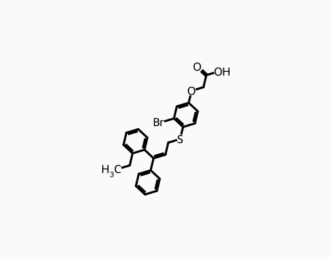 CCc1ccccc1/C(=C\CSc1ccc(OCC(=O)O)cc1Br)c1ccccc1